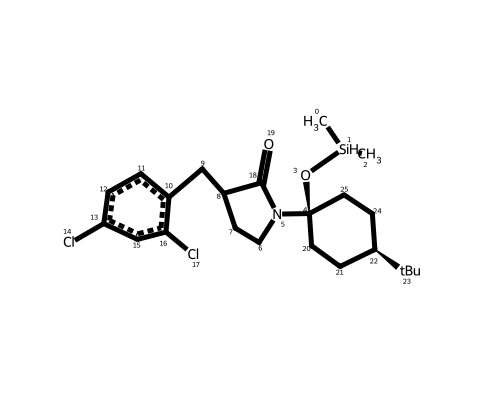 C[SiH](C)O[C@]1(N2CCC(Cc3ccc(Cl)cc3Cl)C2=O)CC[C@H](C(C)(C)C)CC1